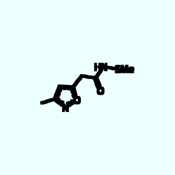 CSNC(=O)Cc1cc(C)no1